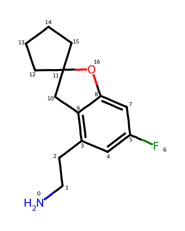 NCCc1cc(F)cc2c1CC1(CCCC1)O2